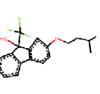 CC(C)CCOc1ccc2c(c1)C(O)(C(F)(F)F)c1ccccc1-2